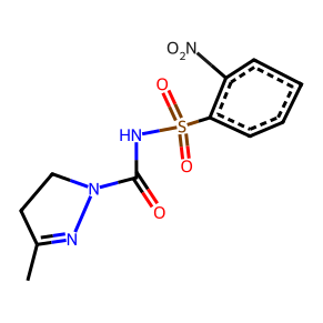 CC1=NN(C(=O)NS(=O)(=O)c2ccccc2[N+](=O)[O-])CC1